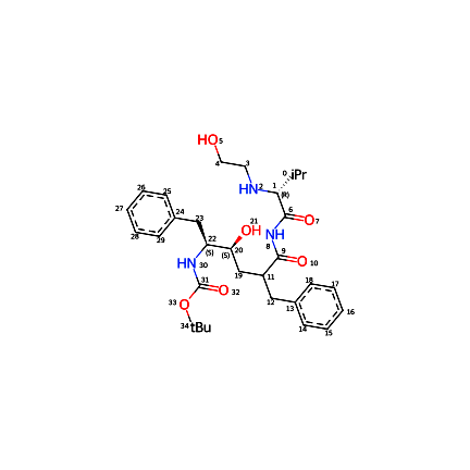 CC(C)[C@@H](NCCO)C(=O)NC(=O)C(Cc1ccccc1)C[C@H](O)[C@H](Cc1ccccc1)NC(=O)OC(C)(C)C